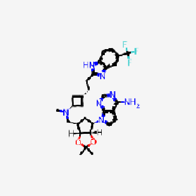 CN(C[C@H]1C[C@@H](n2ccc3c(N)ncnc32)[C@@H]2OC(C)(C)O[C@H]12)[C@H]1C[C@@H](CCc2nc3cc(C(F)(F)F)ccc3[nH]2)C1